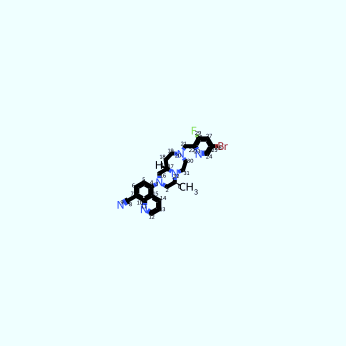 C[C@@H]1CN(c2ccc(C#N)c3ncccc23)C[C@@H]2CCN(Cc3ncc(Br)cc3F)CCN21